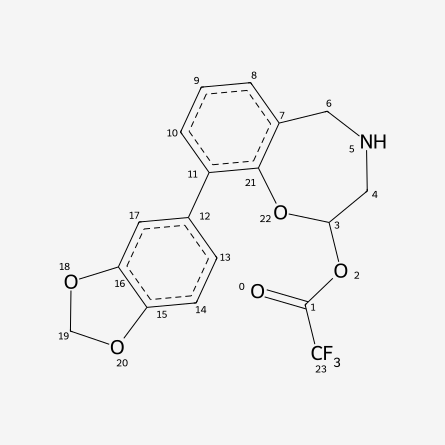 O=C(OC1CNCc2cccc(-c3ccc4c(c3)OCO4)c2O1)C(F)(F)F